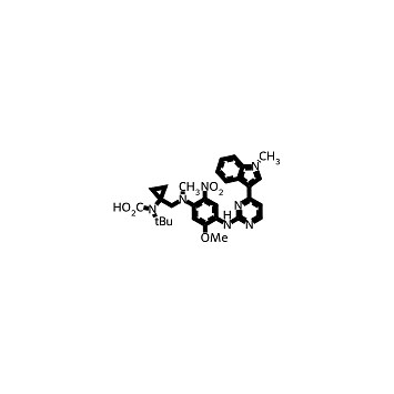 COc1cc(N(C)CC2(N(C(=O)O)C(C)(C)C)CC2)c([N+](=O)[O-])cc1Nc1nccc(-c2cn(C)c3ccccc23)n1